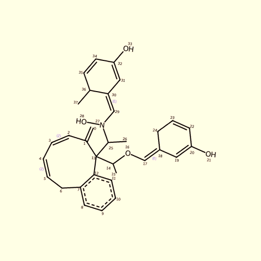 C=C1/C=C\C=C/Cc2ccccc2C1(C(C)O/C=C1/C=C(O)C=CC1)C(C)N(O)/C=C1/C=C(O)C=CC1C